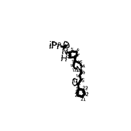 CC(C)C(=O)Nc1cccc(C2CCN(CCCC(=O)c3ccccc3)CC2)c1